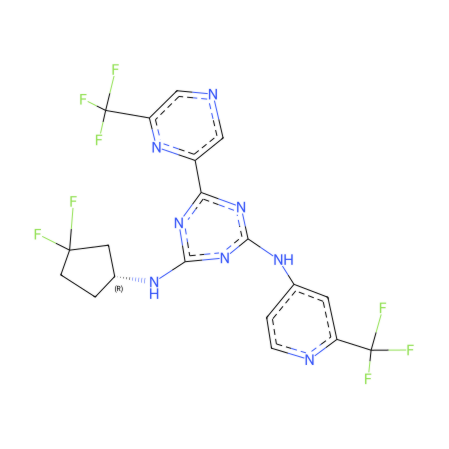 FC1(F)CC[C@@H](Nc2nc(Nc3ccnc(C(F)(F)F)c3)nc(-c3cncc(C(F)(F)F)n3)n2)C1